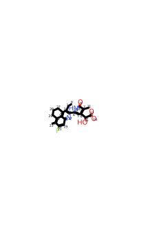 CCc1c(-c2cc3c(c(=O)[nH]2)COC(=O)C3O)nc2cc(F)c(C)c3c2c1CCC3